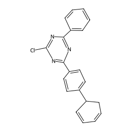 Clc1nc(-c2ccccc2)nc(-c2ccc(C3C=CC=CC3)cc2)n1